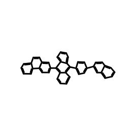 c1ccc2cc(-c3ccc(-c4c5ccccc5c(-c5ccc6c(ccc7ccccc76)c5)c5ccccc45)cc3)ccc2c1